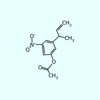 C=C[C](C)c1cc(OC(C)=O)cc([N+](=O)[O-])c1